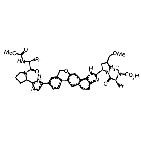 COCC1CC(c2nc3ccc4cc5c(cc4c3[nH]2)OCc2cc(-c3cnc(C4CCCN4C(=O)C(NC(=O)OC)C(C)C)[nH]3)ccc2-5)N(C(=O)C(C(C)C)N(C)C(=O)O)C1